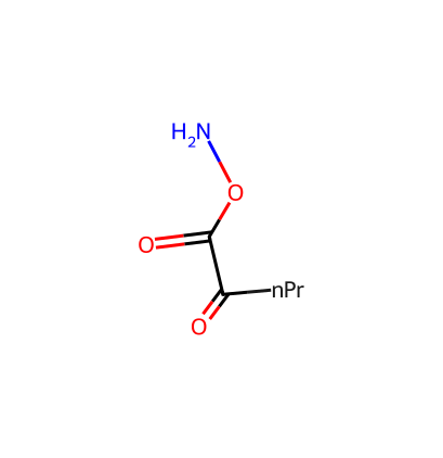 CCCC(=O)C(=O)ON